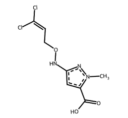 Cn1nc(NOCC=C(Cl)Cl)cc1C(=O)O